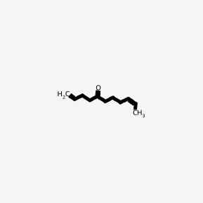 C=CCCC(=O)CCC/C=C\C